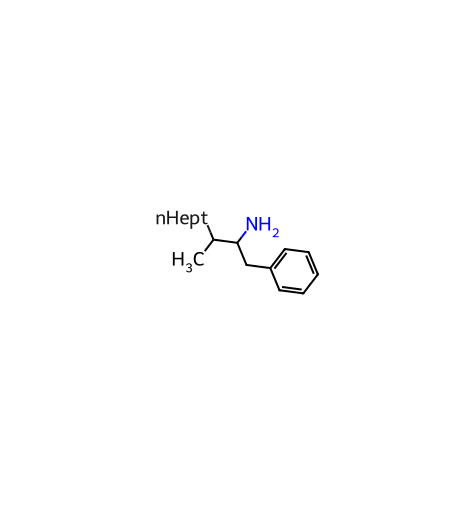 CCCCCCCC(C)C(N)Cc1ccccc1